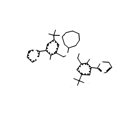 CC(C)(C)c1cc(CS[C@H]2CCCCCCC2SCc2cc(C(C)(C)C)cc(-c3ncccn3)c2O)c(O)c(C2=NC=CCN2)c1